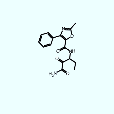 CCC(NC(=O)c1oc(C)nc1-c1ccccc1)C(=O)C(N)=O